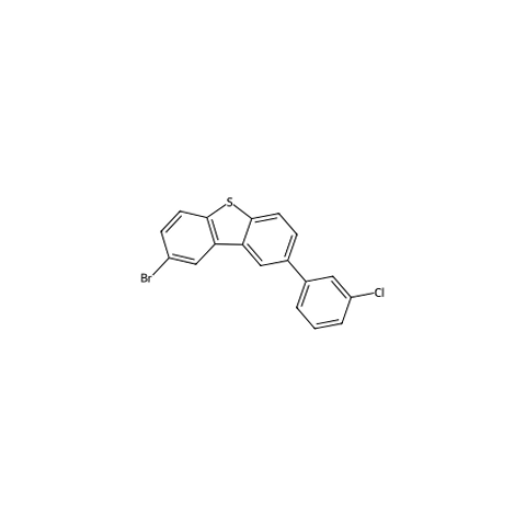 Clc1cccc(-c2ccc3sc4ccc(Br)cc4c3c2)c1